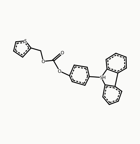 O=C(OCc1cccs1)Oc1ccc([SH]2c3ccccc3-c3ccccc32)cc1